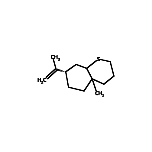 C=C(C)[C@H]1CCC2(C)CCCSC2C1